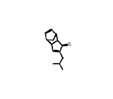 CC(C)CC1=CC2C3C=CC(C3)C2C1=O